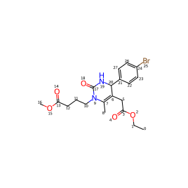 CCOC(=O)CC1=C(C)N(CCCC(=O)OC)C(=O)NC1c1ccc(Br)cc1